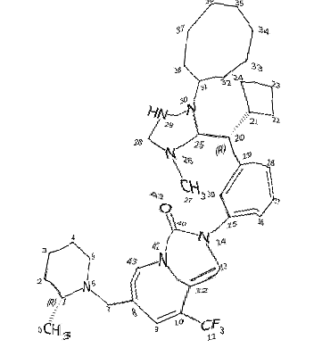 C[C@@H]1CCCCN1Cc1cc(C(F)(F)F)c2cn(-c3cccc([C@@H](C4CCC4)C4N(C)CNN4C4CCCCCCC4)c3)c(=O)n2c1